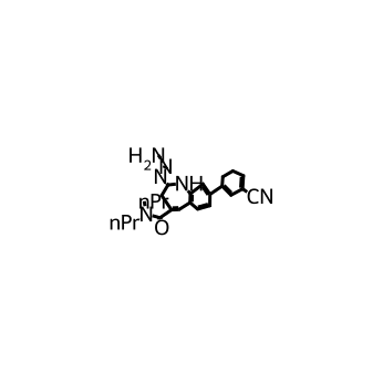 CCCN(CCC)C(=O)C1=Cc2ccc(C3=CC(C#N)=CCC3)cc2NC(N=NN)C1